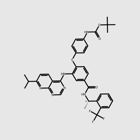 CC(C)c1ccc2c(Nc3cc(C(=O)N[C@@H](C)c4ccccc4C(F)(F)F)ccc3Sc3ccc(NC(=O)OC(C)(C)C)cc3)ncnc2n1